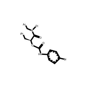 CCN(CC(C)=O)C(=O)[C@H](CC(C)C)OC(=O)Nc1ccc(Br)cc1